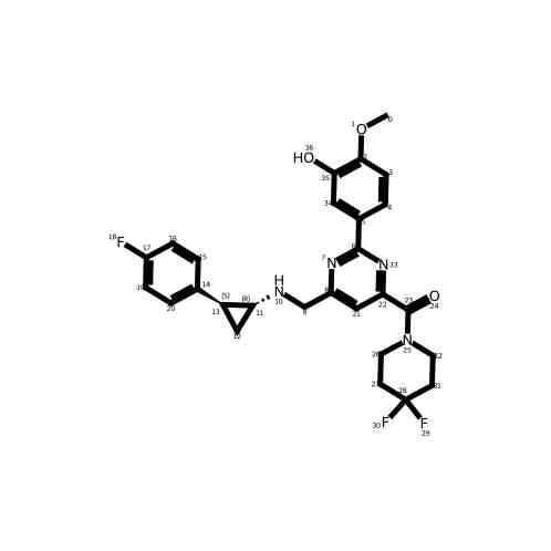 COc1ccc(-c2nc(CN[C@@H]3C[C@H]3c3ccc(F)cc3)cc(C(=O)N3CCC(F)(F)CC3)n2)cc1O